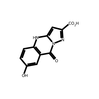 O=C(O)c1cc2[nH]c3ccc(O)cc3c(=O)n2n1